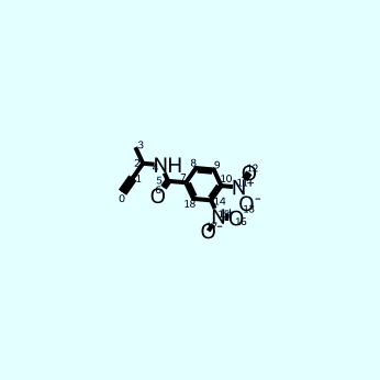 C#CC(C)NC(=O)c1ccc([N+](=O)[O-])c([N+](=O)[O-])c1